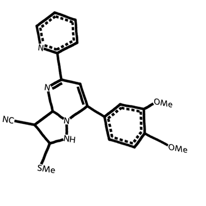 COc1ccc(C2=CC(c3ccccn3)=NC3C(C#N)C(SC)NN23)cc1OC